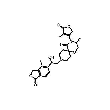 CC1=C(N2C(=O)C3(CCN(CC(O)c4ccc5c(c4C)COC5=O)CC3)OCC2C)COC1=O